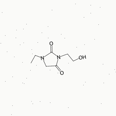 CCN1CC(=O)N(CCO)C1=O